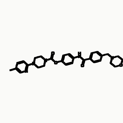 Cc1ccc(N2CCN(C(=O)Oc3ccc(NC(=O)c4ccc(CN5CCOCC5)cc4)cc3)CC2)nc1